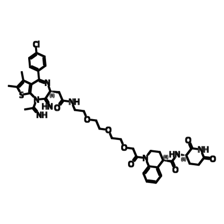 CC(=N)N1C(=N)[C@H](CC(=O)NCCOCCOCCOCC(=O)N2CC[C@@H](C(=O)N[C@H]3CCC(=O)NC3=O)c3ccccc32)N=C(c2ccc(Cl)cc2)c2c1sc(C)c2C